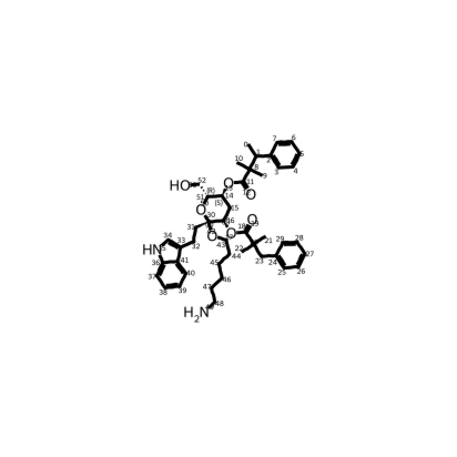 CC(c1ccccc1)C(C)(C)C(=O)O[C@H]1C[C@@H](OC(=O)C(C)(C)Cc2ccccc2)[C@](CCc2c[nH]c3ccccc23)(OCCCCCCN)O[C@@H]1CO